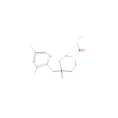 CC(C)(C)OC(=O)N1CCC(Cc2ccc(Cl)cc2Cl)(C(=O)O)CC1